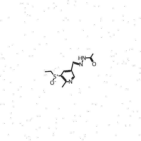 CC[S+]([O-])c1cc(/C=N/NC(C)=O)cnc1C